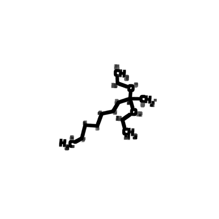 [CH2]C(CCCCCCC)(OCC)OCC